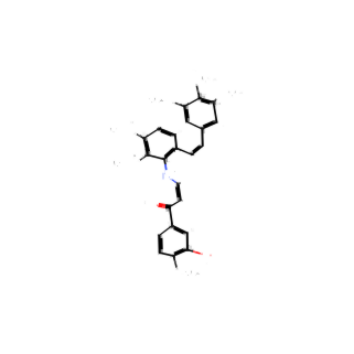 COc1ccc(C(=O)/C=C\Nc2c(/C=C\c3cc(OC)c(OC)c(OC)c3)ccc(OC)c2OC)cc1O